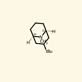 CN1[C@@H]2CCC[C@H]1CC(C(C)(C)C)C2